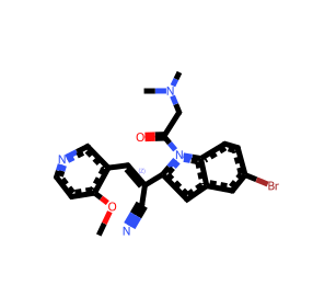 COc1ccncc1/C=C(\C#N)c1cc2cc(Br)ccc2n1C(=O)CN(C)C